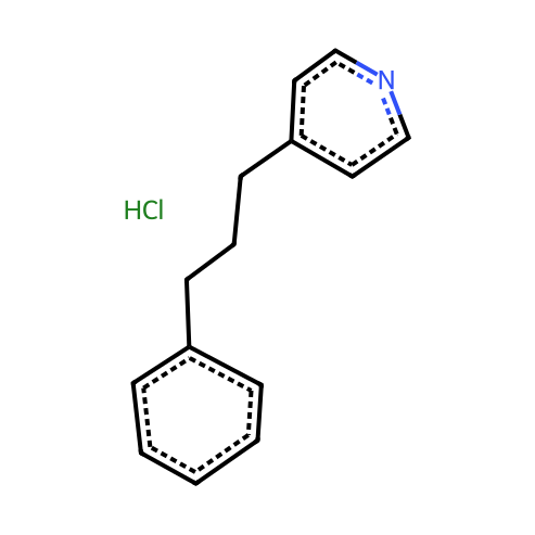 Cl.c1ccc(CCCc2ccncc2)cc1